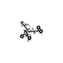 CC(C)(C)OC(=O)[C@@H](N)CSCC(=O)N(CCCNC(=O)OCC1c2ccccc2-c2ccccc21)[C@@H](c1cc(-c2cc(F)ccc2F)cn1Cc1ccccc1)C(C)(C)C